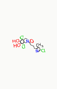 Cc1cc(Cl)cnc1CCCC(=O)N1CCc2c(Cl)c(O)c(O)c(Cl)c2C1